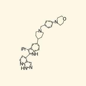 CC(C)c1c(-c2ccnc3[nH]ncc23)[nH]c2ccc(C3CCN(Cc4ccc(N5CCOCC5)cc4)CC3)cc12